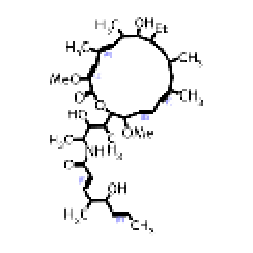 C/C=C/C(O)C(C)/C=C/C(=O)NC(C)C(O)C(C)C1OC(=O)/C(OC)=C/C(C)=C/C(C)C(O)C(CC)CC(C)C/C(C)=C/C=C/C1OC